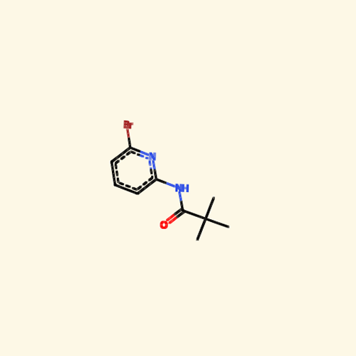 CC(C)(C)C(=O)Nc1cccc(Br)n1